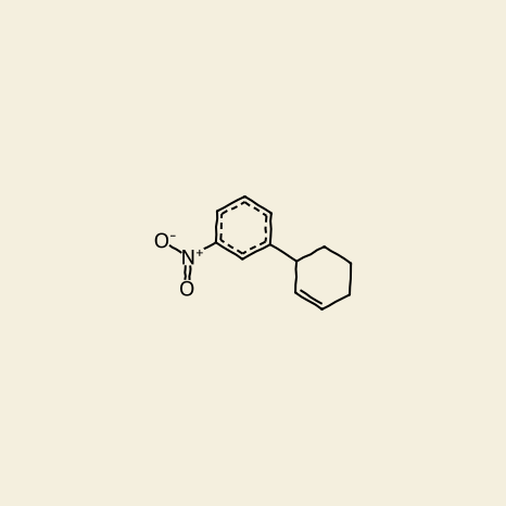 O=[N+]([O-])c1cccc(C2C=CCCC2)c1